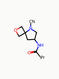 CC(C)C(=O)NC1CN(C#N)C2(COC2)C1